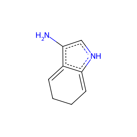 Nc1c[nH]c2c1=CCCC=2